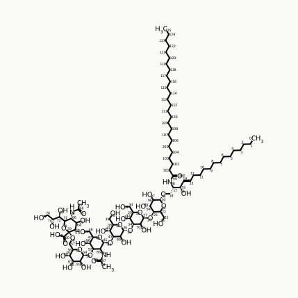 CCCCCCCCCCCCC/C=C/[C@@H](O)[C@H](CO[C@@H]1OC(CO)[C@@H](O[C@@H]2OC(CO)[C@H](O)[C@H](O[C@H]3OC(CO)[C@H](O)[C@H](O[C@@H]4OC(CO)[C@H](O)[C@H](O[C@@H]5OC(CO[C@]6(C(=O)O)CC(O)[C@@H](NC(C)=O)C([C@H](O)[C@H](O)CO)O6)[C@H](O)[C@H](O)C5O)C4NC(C)=O)C3O)C2O)[C@H](O)C1O)NC(=O)CCCCCCCCCCCCCCCCCCCCCCCCC